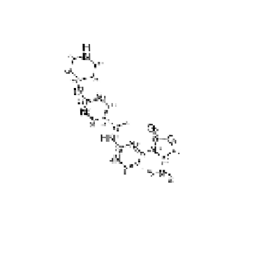 CC(Nc1nccc(N2C(=O)OC[C@@H]2C(C)C)n1)c1cnc(OC2CCNCC2)nc1